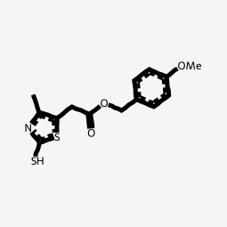 COc1ccc(COC(=O)Cc2sc(S)nc2C)cc1